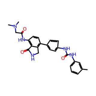 Cc1cccc(NC(=O)Nc2ccc(-c3ccc(NC(=O)CN(C)C)c4c3CNC4=O)cc2)c1